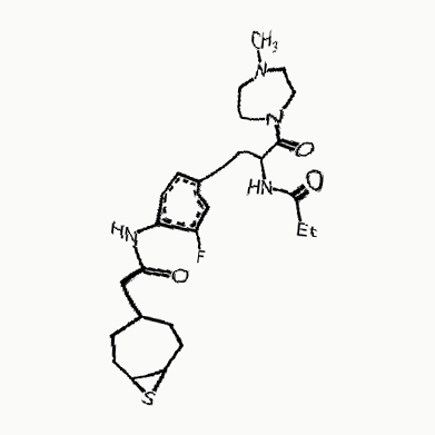 CCC(=O)NC(Cc1ccc(NC(=O)CC2CCC3SC3CC2)c(F)c1)C(=O)N1CCN(C)CC1